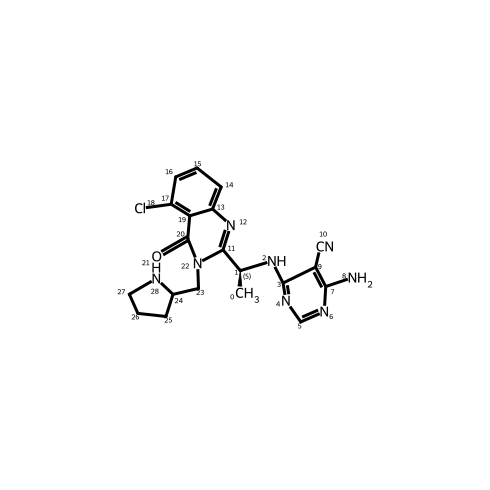 C[C@H](Nc1ncnc(N)c1C#N)c1nc2cccc(Cl)c2c(=O)n1CC1CCCN1